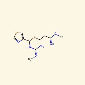 C/N=C(/N)NC(SCCC(=N)NC#N)c1cscn1